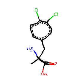 CC(N)(Cc1ccc(Cl)c(Cl)c1)C(=O)O